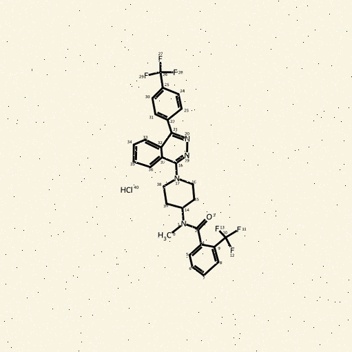 CN(C(=O)c1ccccc1C(F)(F)F)C1CCN(c2nnc(-c3ccc(C(F)(F)F)cc3)c3ccccc23)CC1.Cl